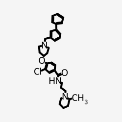 CC1CCCCN1CCCNC(=O)c1ccc(OC2CCN(Cc3cccc(-c4ccccc4)c3)CC2)c(Cl)c1